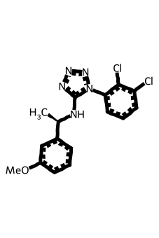 COc1cccc([C@@H](C)Nc2nnnn2-c2cccc(Cl)c2Cl)c1